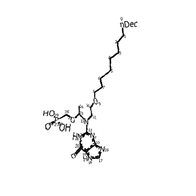 CCCCCCCCCCCCCCCCCCOCCN(c1nc2nc[nH]c2c(=O)[nH]1)C(C)OCP(=O)(O)O